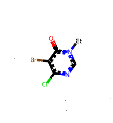 CCn1cnc(Cl)c(Br)c1=O